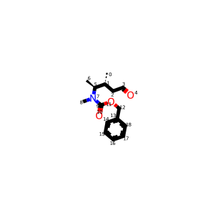 C[C@H](CC=O)[C@H](C)N(C)C(=O)OCc1ccccc1